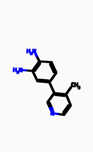 Cc1ccncc1-c1ccc(N)c(N)c1